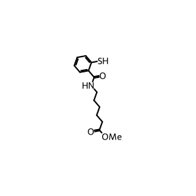 COC(=O)CCCCCNC(=O)c1ccccc1S